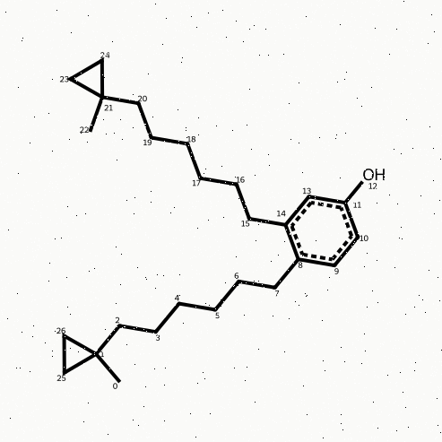 CC1(CCCCCCc2ccc(O)cc2CCCCCCC2(C)CC2)CC1